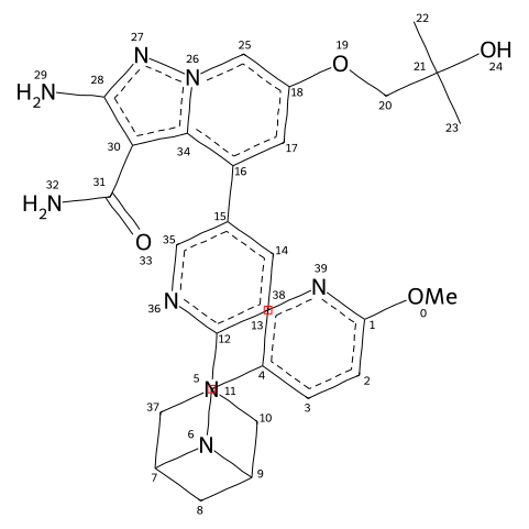 COc1ccc(CN2C3CC2CN(c2ccc(-c4cc(OCC(C)(C)O)cn5nc(N)c(C(N)=O)c45)cn2)C3)cn1